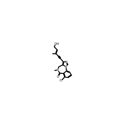 C/C(C#Cc1ncn2c1CN(C)C(=O)c1c(Cl)cccc1-2)=C\CO